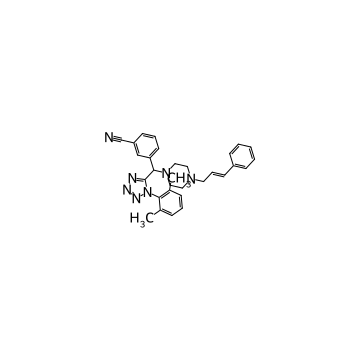 Cc1cccc(C)c1-n1nnnc1C(c1cccc(C#N)c1)N1CCN(CC=Cc2ccccc2)CC1